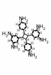 Nc1ccc(C2C(c3cc(N)cc(N)c3)C(c3ccc(N)cc3)C2c2cc(N)cc(N)c2)cc1